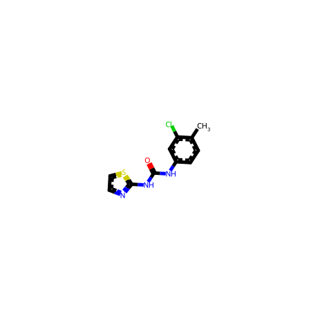 Cc1ccc(NC(=O)Nc2nccs2)cc1Cl